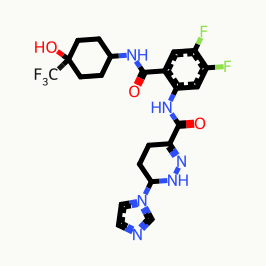 O=C(Nc1cc(F)c(F)cc1C(=O)NC1CCC(O)(C(F)(F)F)CC1)C1=NNC(n2ccnc2)CC1